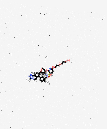 Cc1ccc(C(c2ccn3c(C(F)(F)F)nnc3c2C)C(C)(C)C(=O)O)cc1CN1CC2(CCOCC2)Oc2nc(OCCCOCCCO)ccc2S1(=O)=O